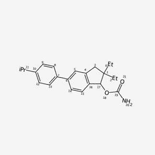 CCC1(CC)Cc2cc(-c3ccc(C(C)C)cc3)ccc2C1OC(N)=O